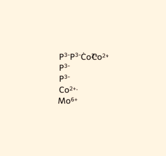 [Co+2].[Co+2].[Co+2].[Mo+6].[P-3].[P-3].[P-3].[P-3]